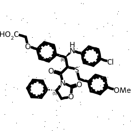 COc1ccc(CSC(C(=O)N2C(=O)OC[C@@H]2c2ccccc2)[C@H](Nc2ccc(Cl)cc2)c2ccc(OCC(=O)O)cc2)cc1